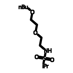 CCCCOCCOCCNS(=O)(=O)C(C)C